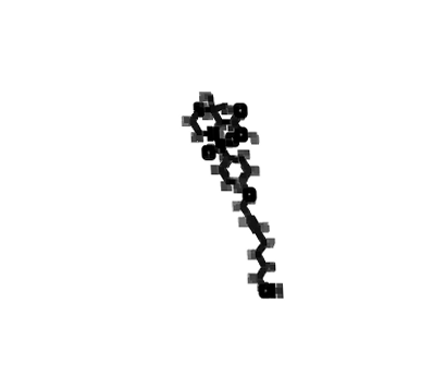 COC(=O)C1N(S(=O)(=O)c2ccc(OCC#CCCCCO)cc2)CCSC1(C)C